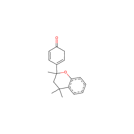 CC1(C2=CCC(=O)C=C2)CC(C)(C)c2ccccc2O1